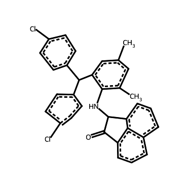 Cc1cc(C)c(NC2C(=O)c3cccc4cccc2c34)c(C(c2ccc(Cl)cc2)c2ccc(Cl)cc2)c1